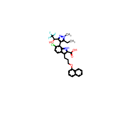 CCc1c(-c2c(Cl)ccc3c(CCCOc4cccc5ccccc45)c(C(=O)O)[nH]c23)c(C(O)C(F)(F)F)nn1C